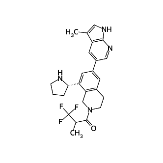 Cc1c[nH]c2ncc(-c3cc4c(c([C@@H]5CCCN5)c3)CN(C(=O)C(C)C(F)(F)F)CC4)cc12